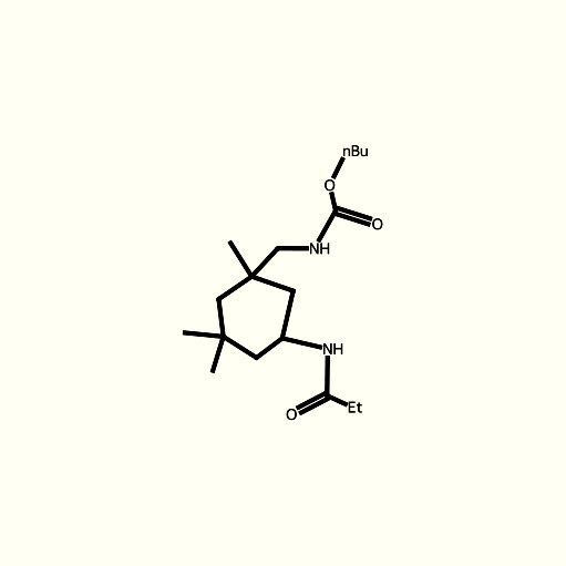 CCCCOC(=O)NCC1(C)CC(NC(=O)CC)CC(C)(C)C1